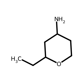 CCC1CC(N)CCO1